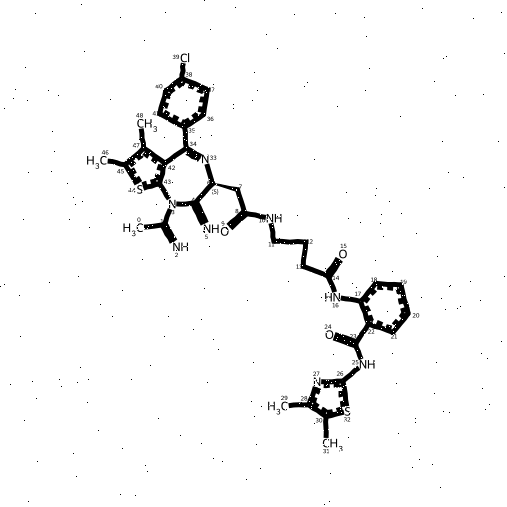 CC(=N)N1C(=N)[C@H](CC(=O)NCCCC(=O)Nc2ccccc2C(=O)Nc2nc(C)c(C)s2)N=C(c2ccc(Cl)cc2)c2c1sc(C)c2C